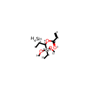 C=CC(=O)OC(CC)[Si](CC)(OC)OC.[SiH4]